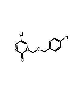 O=c1ncc(Cl)cn1COCc1ccc(Cl)cc1